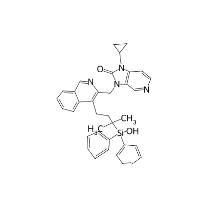 CC(C)(CCc1c(Cn2c(=O)n(C3CC3)c3ccncc32)ncc2ccccc12)[Si](O)(c1ccccc1)c1ccccc1